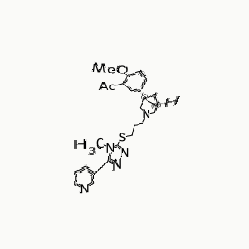 COc1ccc([C@]23C[C@H]2CN(CCCSc2nnc(-c4cccnc4)n2C)C3)cc1C(C)=O